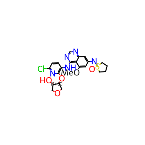 COc1cc(N=S2(=O)CCCC2)cc2ncnc(Nc3ccc(Cl)nc3O[C@H]3COC[C@@H]3O)c12